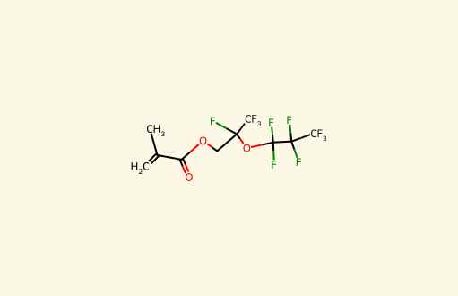 C=C(C)C(=O)OCC(F)(OC(F)(F)C(F)(F)C(F)(F)F)C(F)(F)F